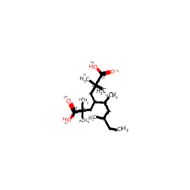 CCC(C)CC(C)C(CC(C)(C)C(=O)O)CC(C)(C)C(=O)O